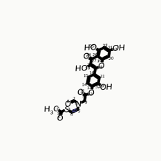 CC(=O)S/C=C\N(C=O)CC(=O)Oc1ccc(-c2oc3cc(O)cc(O)c3c(=O)c2O)cc1O